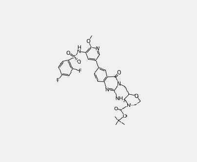 COc1ncc(-c2ccc3nc(N)n(CC4CN(C(=O)OC(C)(C)C)CCO4)c(=O)c3c2)cc1NS(=O)(=O)c1ccc(F)cc1F